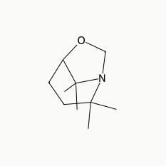 CC1(C)CCC2OCN1C2(C)C